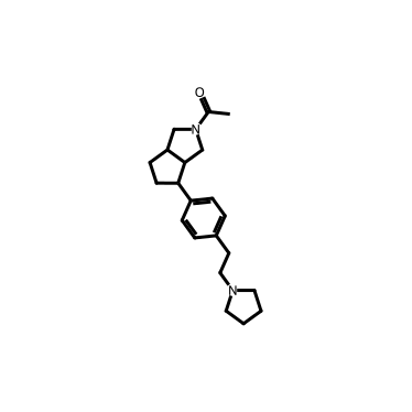 CC(=O)N1CC2CCC(c3ccc(CCN4CCCC4)cc3)C2C1